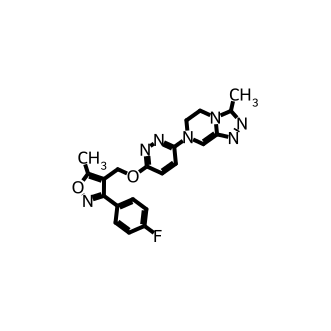 Cc1onc(-c2ccc(F)cc2)c1COc1ccc(N2C=C3N=NC(C)N3CC2)nn1